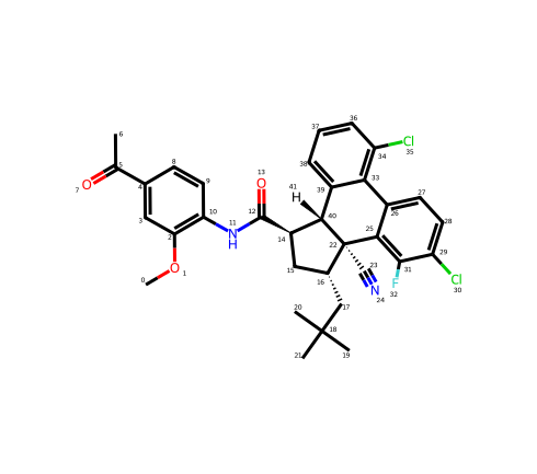 COc1cc(C(C)=O)ccc1NC(=O)[C@@H]1C[C@@H](CC(C)(C)C)[C@]2(C#N)c3c(ccc(Cl)c3F)-c3c(Cl)cccc3[C@@H]12